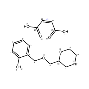 Cc1ccccc1COCC1CNCCO1.O=C(O)/C=C\C(=O)O